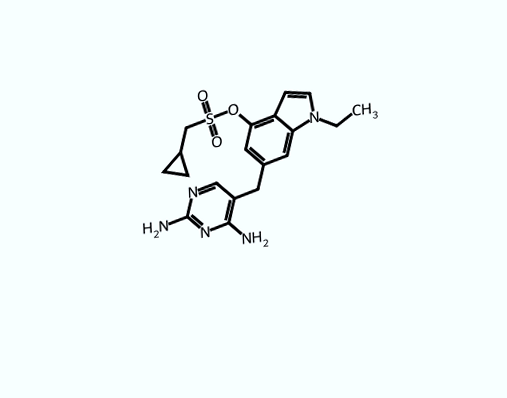 CCn1ccc2c(OS(=O)(=O)CC3CC3)cc(Cc3cnc(N)nc3N)cc21